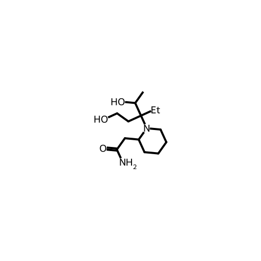 CCC(CCO)(C(C)O)N1CCCCC1CC(N)=O